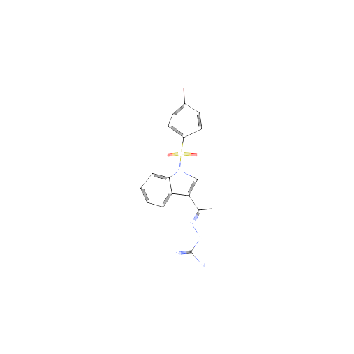 CC(=NNC(=N)N)c1cn(S(=O)(=O)c2ccc(Br)cc2)c2ccccc12